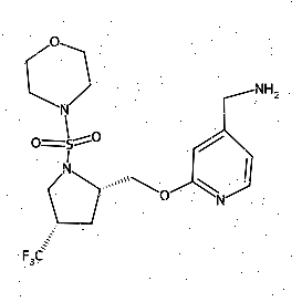 NCc1ccnc(OC[C@@H]2C[C@H](C(F)(F)F)CN2S(=O)(=O)N2CCOCC2)c1